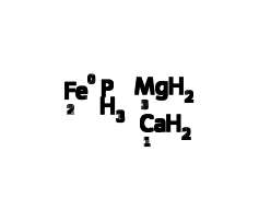 P.[CaH2].[Fe].[MgH2]